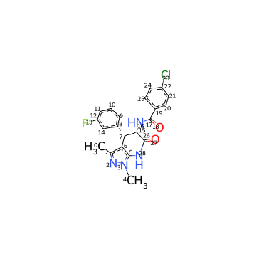 Cc1nn(C)c2c1[C@H](c1cccc(F)c1)[C@H](NC(=O)c1ccc(Cl)cc1)C(=O)N2